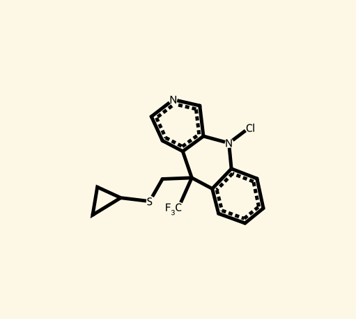 FC(F)(F)C1(CSC2CC2)c2ccccc2N(Cl)c2cnccc21